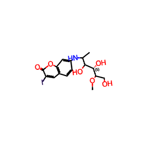 COC(CO)[C@@H](O)C(O)C(C)Nc1ccc2cc(I)c(=O)oc2c1